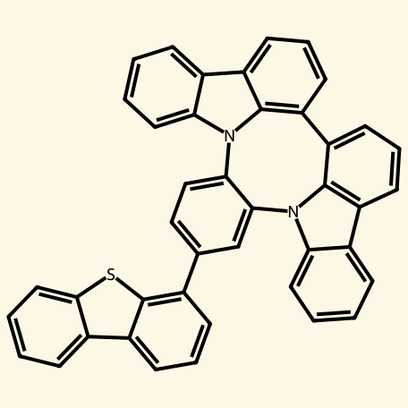 c1ccc2c(c1)sc1c(-c3ccc4c(c3)n3c5ccccc5c5cccc(c6cccc7c8ccccc8n4c76)c53)cccc12